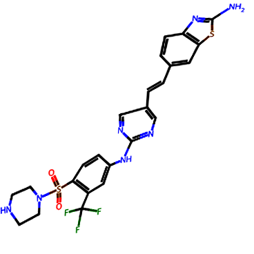 Nc1nc2ccc(C=Cc3cnc(Nc4ccc(S(=O)(=O)N5CCNCC5)c(C(F)(F)F)c4)nc3)cc2s1